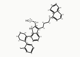 Cc1ccccc1C1=C(c2cccc3c(CCCOc4cccc5ccccc45)c(OC(=O)O)[nH]c23)CCCC1